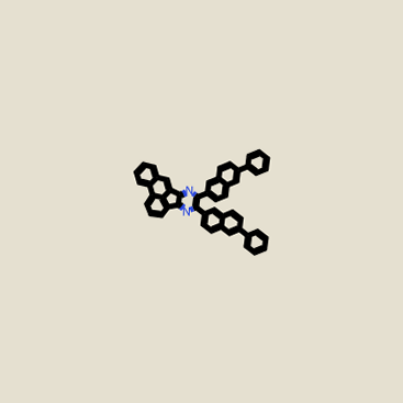 c1ccc(-c2ccc3cc(-c4nc5c(nc4-c4ccc6cc(-c7ccccc7)ccc6c4)-c4cc6ccccc6c6cccc-5c46)ccc3c2)cc1